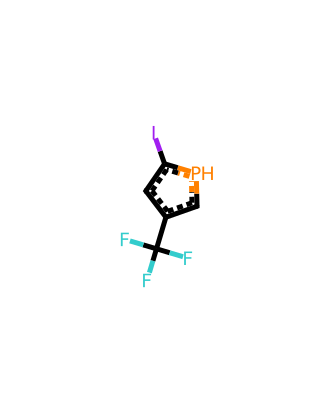 FC(F)(F)c1c[pH]c(I)c1